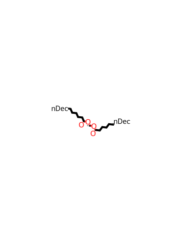 CCCCCCCCCCCCCCCC(=O)O[CH]OC(=O)CCCCCCCCCCCCCCC